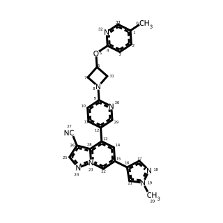 Cc1ccc(OC2CN(c3ccc(-c4cc(-c5cnn(C)c5)cn5ncc(C#N)c45)cn3)C2)nc1